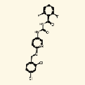 O=C(NC(=O)c1c(F)cccc1F)Nc1ccc(OCc2ccc(Cl)cc2Cl)nc1